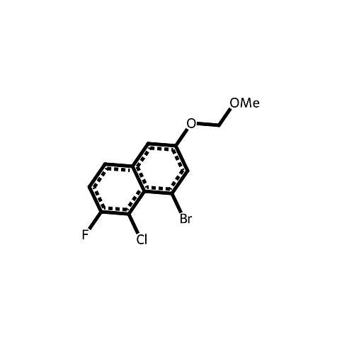 COCOc1cc(Br)c2c(Cl)c(F)ccc2c1